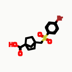 O=C(O)C12CCC(CS(=O)(=O)c3ccc(Br)cc3)(CC1)C2